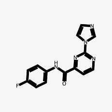 O=C(Nc1ccc(F)cc1)c1ccnc(-n2ccnc2)n1